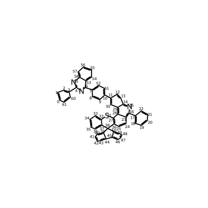 c1ccc(-c2nc(-c3ccc(-c4ccc5nc(-c6ccccc6)c6ccc7c(c6c5c4)Sc4ccccc4C74c5ccccc5-c5ccccc54)cc3)c3ccccc3n2)cc1